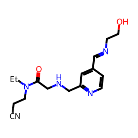 CCN(CCC#N)C(=O)CNCc1cc(C=NCCO)ccn1